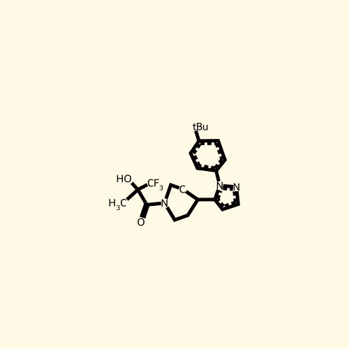 CC(C)(C)c1ccc(-n2nccc2C2CCN(C(=O)C(C)(O)C(F)(F)F)CC2)cc1